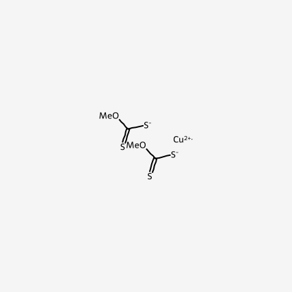 COC(=S)[S-].COC(=S)[S-].[Cu+2]